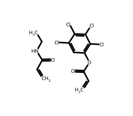 C=CC(=O)NCC.C=CC(=O)Oc1cc(Cl)c(Cl)c(Cl)c1Cl